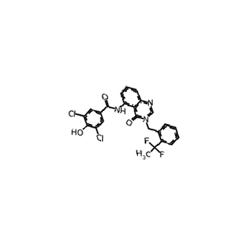 CC(F)(F)c1ccccc1Cn1cnc2cccc(NC(=O)c3cc(Cl)c(O)c(Cl)c3)c2c1=O